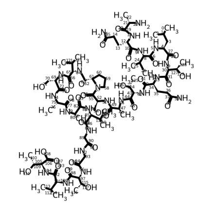 CC(C)C[C@H](NC(=O)[C@@H](NC(=O)[C@H](CCC(N)=O)NC(=O)[C@H](C)N)C(C)C)C(=O)N[C@H](C(=O)N[C@@H](CCC(N)=O)C(=O)N[C@H](C(=O)N[C@@H](C)C(=O)N[C@@H](CO)C(=O)N1CCC[C@H]1C(=O)N[C@H](C(=O)N[C@@H](CO)C(=O)N[C@@H](C)C(=O)N[C@@H](C)C(=O)N[C@H](C(=O)NCC(=O)NCC(=O)N[C@H](C(=O)N[C@H](C(=O)N[C@H](C(=O)O)[C@@H](C)O)C(C)C)[C@@H](C)O)C(C)C)C(C)C)[C@@H](C)O)[C@@H](C)O